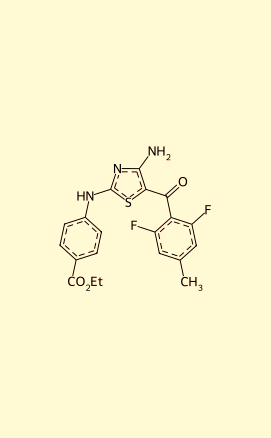 CCOC(=O)c1ccc(Nc2nc(N)c(C(=O)c3c(F)cc(C)cc3F)s2)cc1